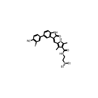 CCN(CC)CCNC(=O)c1c(C)[nH]c(/C=C2\C(=O)Nc3ccc(-c4ccc(C#N)c(F)c4)cc32)c1C